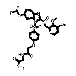 COc1ccnc(C[S+]([O-])c2nc3ccc(OC(F)F)cc3n2S(=O)(=O)c2ccc(OCC(=O)NCC(N)=O)cc2)c1OC